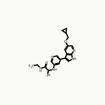 CC(C)C(Nc1cncc(-c2c[nH]c3ncc(OCC4CC4)cc23)c1)C(=O)NCC(F)(F)F